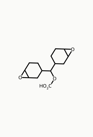 O=C(O)OC(C1CCC2OC2C1)C1CCC2OC2C1